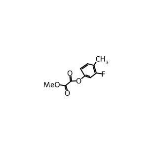 COC(=O)C(=O)Oc1ccc(C)c(F)c1